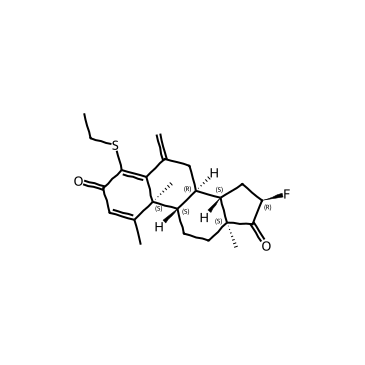 C=C1C[C@@H]2[C@H](CC[C@]3(C)C(=O)[C@H](F)C[C@@H]23)[C@@]2(C)C(C)=CC(=O)C(SCC)=C12